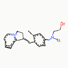 CCN(CCO)c1ccc(C=C2CC[n+]3ccccc32)c(C)c1